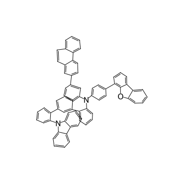 c1cc(-c2ccccc2N(c2ccc(-c3cccc4c3oc3ccccc34)cc2)c2cccc(-c3ccc4c(ccc5ccccc54)c3)c2)cc(-c2ccccc2-n2c3ccccc3c3ccccc32)c1